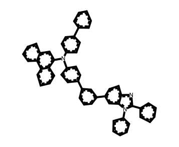 c1ccc(-c2ccc(N(c3ccc(-c4cccc(-c5ccc6nc(-c7ccccc7)n(-c7ccccc7)c6c5)c4)cc3)c3cc4ccccc4c4ccccc34)cc2)cc1